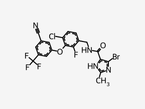 Cc1nc(Br)c(C(=O)NCc2ccc(Cl)c(Oc3cc(C#N)cc(C(F)(F)F)c3)c2F)[nH]1